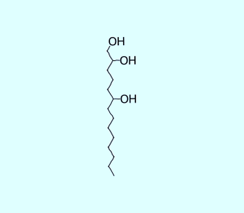 CCCCCCCCC(O)CCCC(O)CO